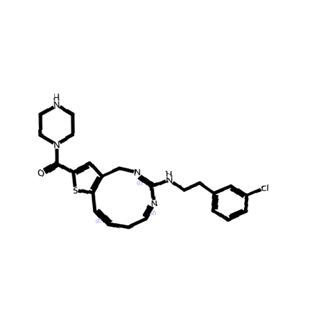 O=C(c1cc2c(s1)/C=C\C/C=N\C(NCCc1cccc(Cl)c1)=N/C2)N1CCNCC1